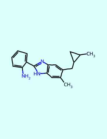 Cc1cc2[nH]c(-c3ccccc3N)nc2cc1CC1CC1C